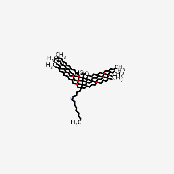 CCCCCCCC/C=C\CCCC(CCCCCCCCCCCC)(CCCCCCCCCCCC)C(CCCCCCCCCCCC)(CCCCCCCCCCCC)C(CCCCCCCCCCCC)(CCCCCCCCCCCC)C(CCCCCCCCCCCC)(CCCCCCCCCCCC)C(=O)O